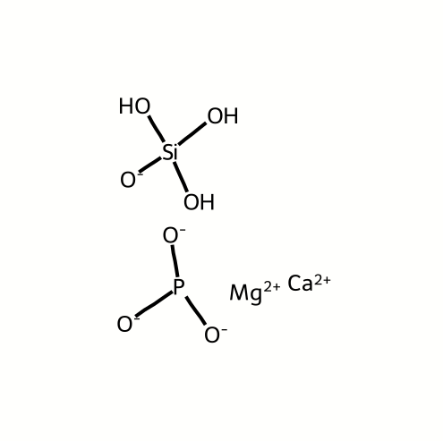 [Ca+2].[Mg+2].[O-]P([O-])[O-].[O-][Si](O)(O)O